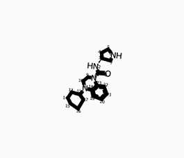 O=C(N[C@@H]1CCNC1)N1CCN(C2CCCCC2)c2ccccc21